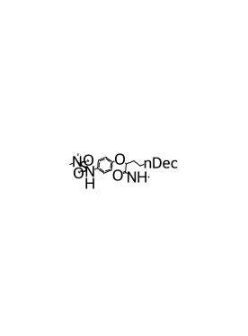 CCCCCCCCCCCCC(Oc1ccc(NS(=O)(=O)N(C)C)cc1)C([NH])=O